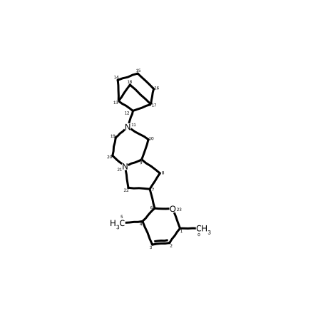 CC1C=CC(C)C(C2CC3CN(C4C5CCCC4C5)CCN3C2)O1